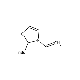 C=CN1C=COC1CCCC